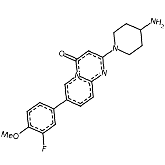 COc1ccc(-c2ccc3nc(N4CCC(N)CC4)cc(=O)n3c2)cc1F